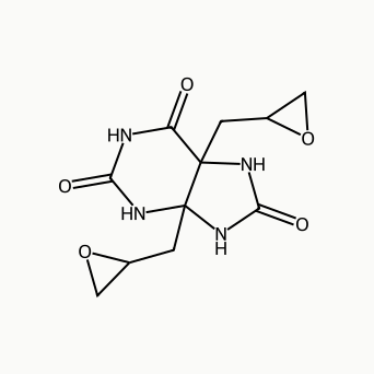 O=C1NC(=O)C2(CC3CO3)NC(=O)NC2(CC2CO2)N1